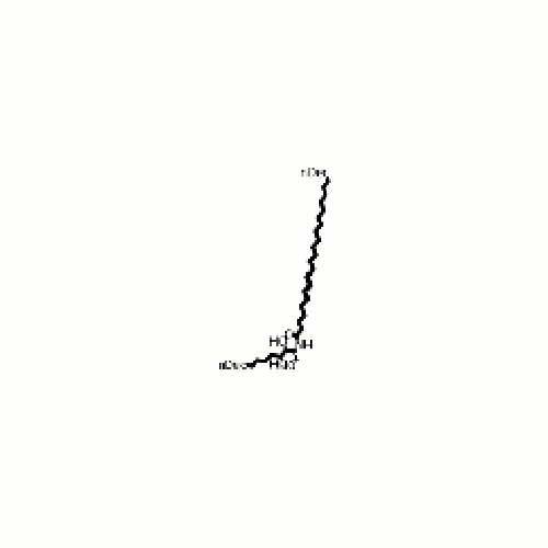 CCCCCCCCCCCCCCCCCCCCCCCCCCCCCCCC(=O)N[C@@H](CO)[C@H](O)[C@H](O)CCCCCCCCCCCCCC